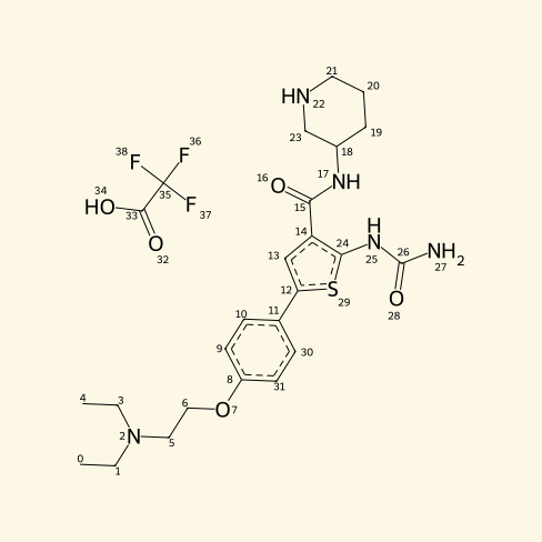 CCN(CC)CCOc1ccc(-c2cc(C(=O)NC3CCCNC3)c(NC(N)=O)s2)cc1.O=C(O)C(F)(F)F